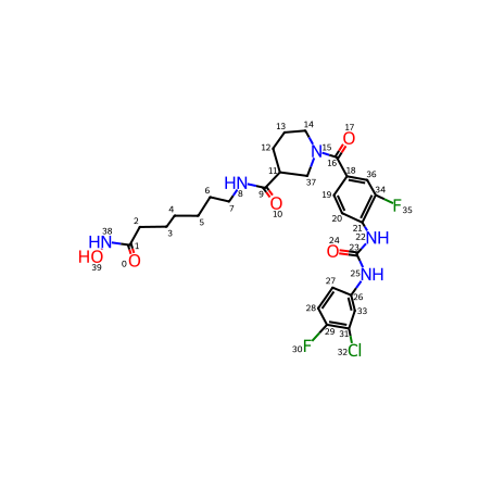 O=C(CCCCCCNC(=O)C1CCCN(C(=O)c2ccc(NC(=O)Nc3ccc(F)c(Cl)c3)c(F)c2)C1)NO